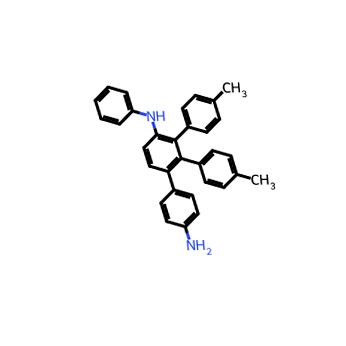 Cc1ccc(-c2c(Nc3ccccc3)ccc(-c3ccc(N)cc3)c2-c2ccc(C)cc2)cc1